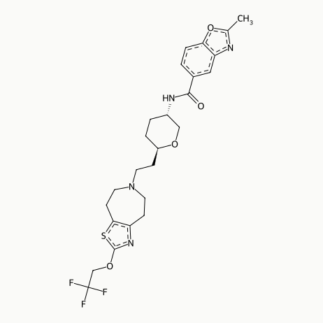 Cc1nc2cc(C(=O)N[C@H]3CC[C@H](CCN4CCc5nc(OCC(F)(F)F)sc5CC4)OC3)ccc2o1